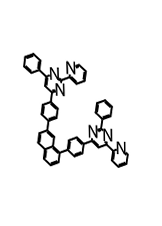 c1ccc(-c2cc(-c3ccc(-c4ccc5cccc(-c6ccc(-c7cc(-c8ccccn8)nc(-c8ccccc8)n7)cc6)c5c4)cc3)nc(-c3ccccn3)n2)cc1